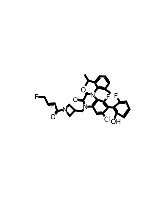 Cc1cccc(C(C)C)c1-n1c(=O)c(=O)n(CC2CN(C(=O)/C=C/CF)C2)c2cc(Cl)c(-c3c(O)cccc3F)c(F)c21